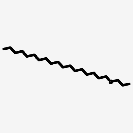 CCCCCCCCCCCCCCCCCCOCCC